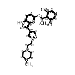 C[C@@H](Oc1ccc2[nH]nc(-c3cnn(CCN4CCN(C)CC4)c3)c2n1)c1c(Cl)cncc1Cl